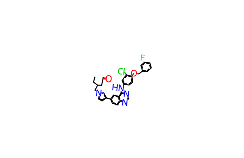 CCC(CC=O)Cn1ccc(-c2ccc3ncnc(Nc4ccc(OCc5cccc(F)c5)c(Cl)c4)c3c2)c1